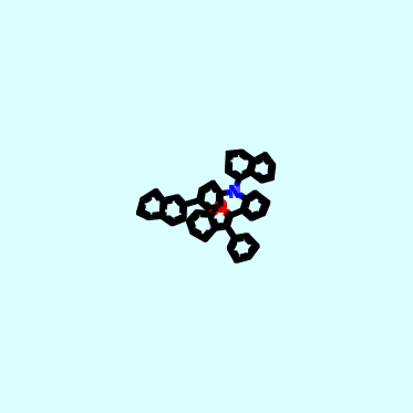 c1ccc(-c2c(-c3ccccc3N(c3ccc(-c4ccc5ccccc5c4)cc3)c3cccc4ccccc34)oc3ccccc23)cc1